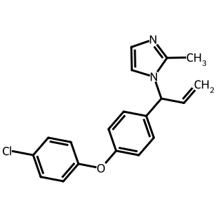 C=CC(c1ccc(Oc2ccc(Cl)cc2)cc1)n1ccnc1C